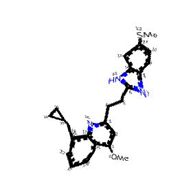 COc1cc(CCc2nc3ccc(SC)cc3[nH]2)nc2c(C3CC3)cccc12